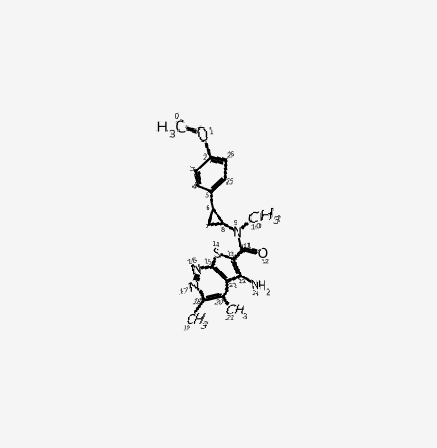 COc1ccc(C2CC2N(C)C(=O)c2sc3nnc(C)c(C)c3c2N)cc1